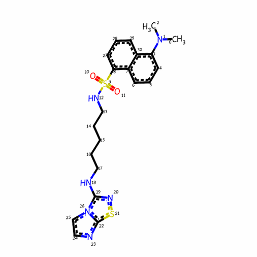 CN(C)c1cccc2c(S(=O)(=O)NCCCCCNc3nsc4nccn34)cccc12